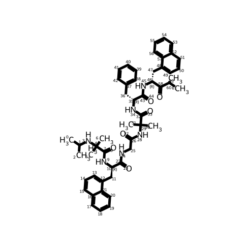 CC(C)NC(C)(C)C(=O)N[C@H](Cc1cccc2ccccc12)C(=O)NCC(=O)NC(C)(C)C(=O)N[C@H](Cc1ccccc1)C(=O)N[C@H](Cc1cccc2ccccc12)C(=O)C(C)C